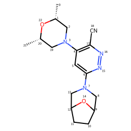 C[C@@H]1CN(c2cc(N3CC4CCC(C3)O4)nnc2C#N)C[C@H](C)O1